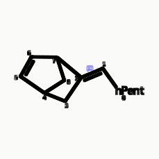 CCCCC/C=C1\CC2C=CC1C2